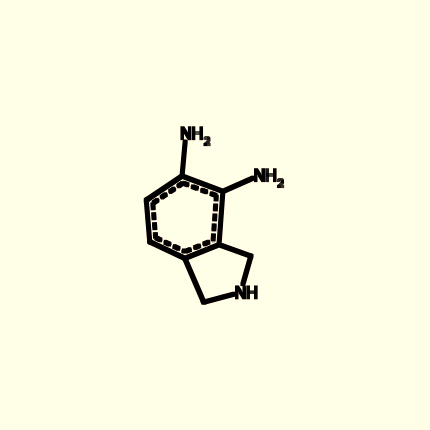 Nc1ccc2c(c1N)CNC2